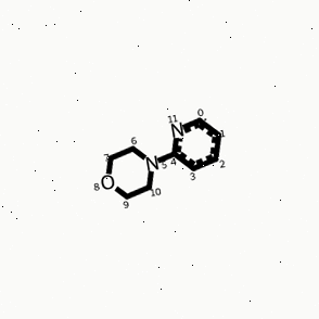 [c]1cccc(N2CCOCC2)n1